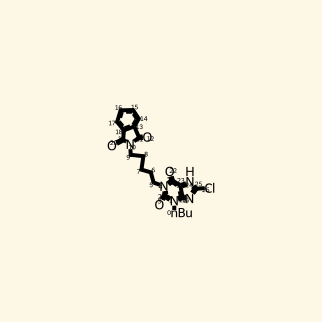 CCCCn1c(=O)n(CCCCCN2C(=O)c3ccccc3C2=O)c(=O)c2[nH]c(Cl)nc21